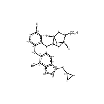 O=C(O)N1C[C@@H]2C[C@H]1CN2Cc1cc(Cl)cnc1Oc1ccc2c(nnn2CC2CC2)c1Br